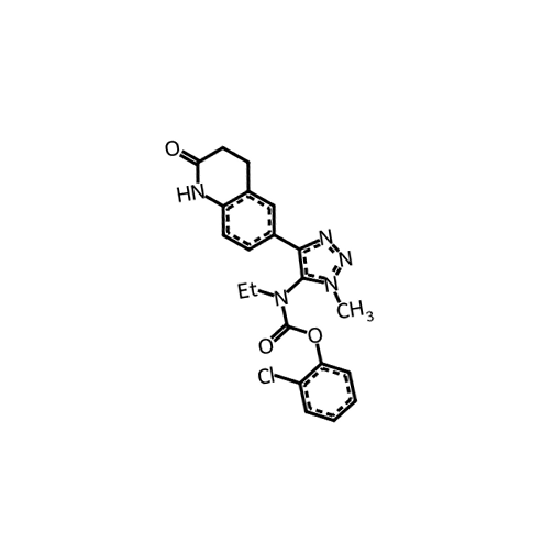 CCN(C(=O)Oc1ccccc1Cl)c1c(-c2ccc3c(c2)CCC(=O)N3)nnn1C